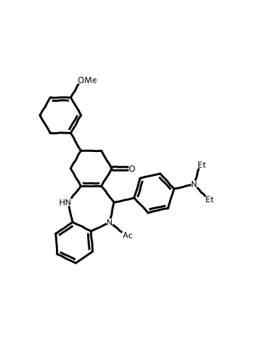 CCN(CC)c1ccc(C2C3=C(CC(C4=CC(OC)=CCC4)CC3=O)Nc3ccccc3N2C(C)=O)cc1